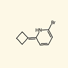 BrC1=CC=CC(=C2CCC2)N1